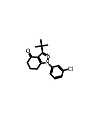 CC(C)(C)c1nn(-c2cccc(Cl)c2)c2c1C(=O)CCC2